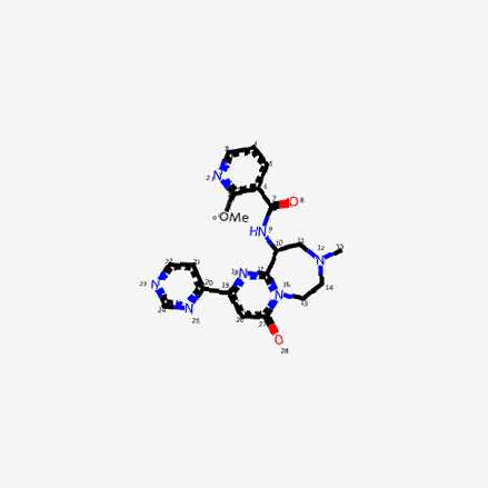 COc1ncccc1C(=O)NC1CN(C)CCn2c1nc(-c1ccncn1)cc2=O